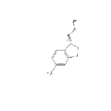 Cc1ccc2c(c1)CC/C2=N\OC(C)C